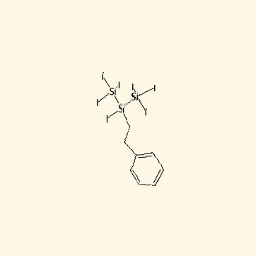 I[Si](I)(I)[Si](I)(CCc1ccccc1)[Si](I)(I)I